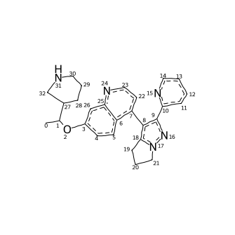 CC(Oc1ccc2c(-c3c(-c4ccccn4)nn4c3CCC4)ccnc2c1)C1CCCNC1